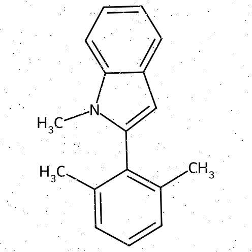 Cc1cccc(C)c1-c1cc2ccccc2n1C